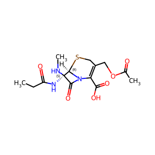 CCC(=O)N[C@@]1(NC)C(=O)N2C(C(=O)O)=C(COC(C)=O)CS[C@@H]21